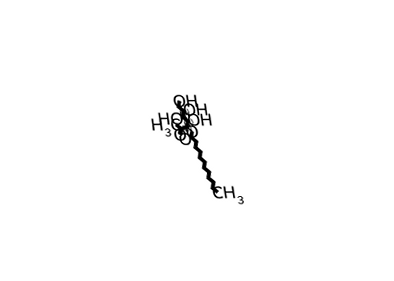 CCCCCCCCCCCC(=O)O[C@@H](C(C)=O)[C@@H](O)[C@H](O)[C@H](O)CO